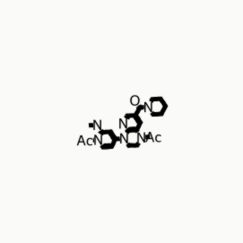 C/N=c1/cc(N2CCN(C(C)=O)c3cc(C(=O)N4CCCCC4)cnc32)ccn1C(C)=O